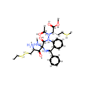 CCSSCC(N)C(=O)C1(NC)N=C(c2ccccc2)c2ccccc2N(N(C(C)=O)[C@@H](CCSC)C(=O)OC)C1=O